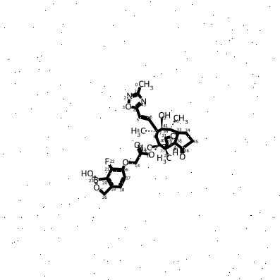 Cc1noc(/C=C/[C@]2(C)C[C@@H](OC(=O)COc3ccc4c(c3F)B(O)OC4)[C@]3(C)[C@H](C)CC[C@]4(CCC(=O)[C@H]43)[C@@H](C)[C@@H]2O)n1